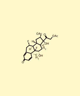 CC(=O)OCC(=O)[C@@]1(O)[C@H](OC(C)=O)C[C@H]2[C@@H]3[C@H](F)CC4=CC(=O)C=C[C@]4(C)[C@@]3(F)[C@@H](O)C[C@@]21C